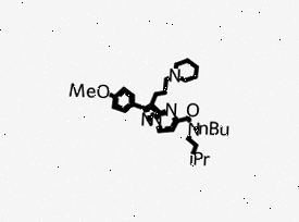 CCCCN(CCC(C)C)C(=O)c1ccn2nc(-c3ccc(OC)cc3)c(CCCN3CCCCC3)c2n1